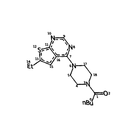 CCCCC(=O)N1CCN(c2ncnc3sc(CC)cc23)CC1